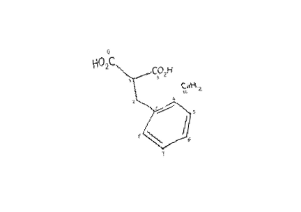 O=C(O)C(Cc1ccccc1)C(=O)O.[CaH2]